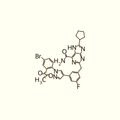 CS(=O)(=O)c1cc(Br)ccc1-n1cc(-c2cc(F)cc(Cc3nc(C(N)=O)c4[nH]c(C5CCCC5)nc4n3)c2)cn1